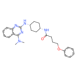 CN(C)c1nc(N[C@H]2CC[C@@H](NC(=O)CCCOc3ccccc3)CC2)nc2ccccc12